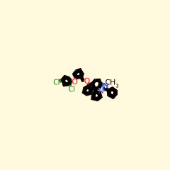 Cn1c(-c2ccccc2)nc2c1CCC(COCc1ccccc1Oc1ccc(Cl)cc1Cl)C2(c1ccccc1)c1ccccc1